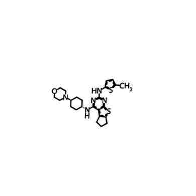 Cc1ccc(Nc2nc(N[C@H]3CC[C@H](N4CCOCC4)CC3)c3c4c(sc3n2)CCC4)s1